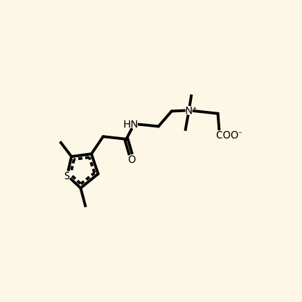 Cc1cc(CC(=O)NCC[N+](C)(C)CC(=O)[O-])c(C)s1